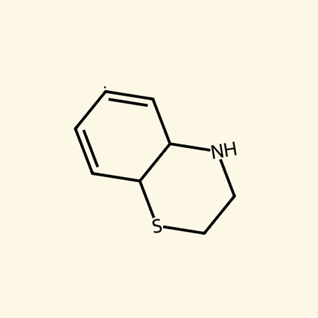 [C]1=CC2NCCSC2C=C1